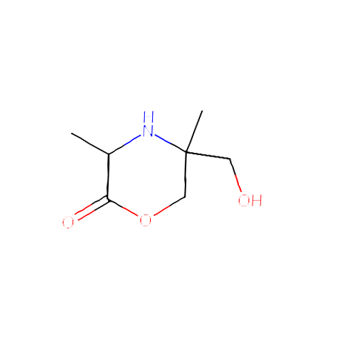 C[C]1NC(C)(CO)COC1=O